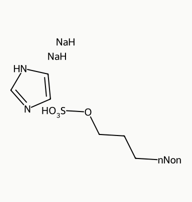 CCCCCCCCCCCCOS(=O)(=O)O.[NaH].[NaH].c1c[nH]cn1